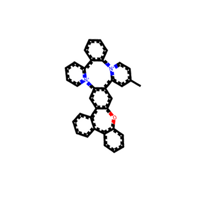 Cc1cc[n+]2c3ccccc3c3cccc[n+]3c3cc4c(cc3c2c1)oc1ccccc1c1ccccc41